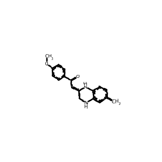 COc1ccc(C(=O)/C=C2/CNc3cc(C)ccc3N2)cc1